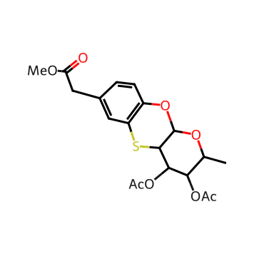 COC(=O)Cc1ccc2c(c1)SC1C(O2)OC(C)C(OC(C)=O)C1OC(C)=O